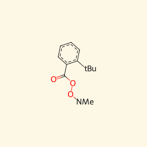 CNOOC(=O)c1ccccc1C(C)(C)C